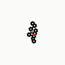 c1cc(-c2cccc3ccccc23)cc(N(c2ccccc2-c2cccc3c2sc2ccccc23)c2cccc3ccccc23)c1